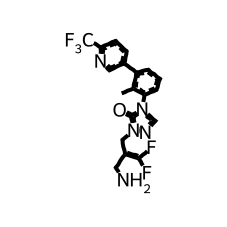 Cc1c(-c2ccc(C(F)(F)F)nc2)cccc1-n1cnn(CC(CN)=C(F)F)c1=O